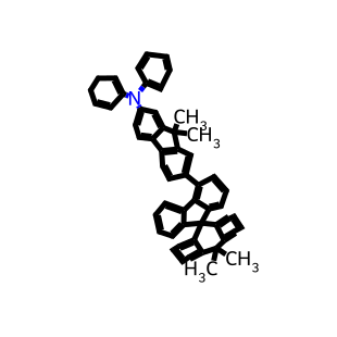 CC1(C)c2cc(-c3cccc4c3-c3ccccc3C43c4ccccc4C(C)(C)c4ccccc43)ccc2-c2ccc(N(C3=CCCC=C3)c3ccccc3)cc21